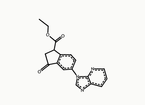 CCOC(=O)C1CC(=O)c2cc(-n3cnc4cccnc43)ccc21